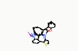 In1c2cccc3c4sccc4n4c5oc6ccccc6c5c5ccc1c(c32)c54